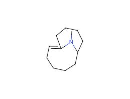 CN1/C2=C/CCCCC1CCCC2